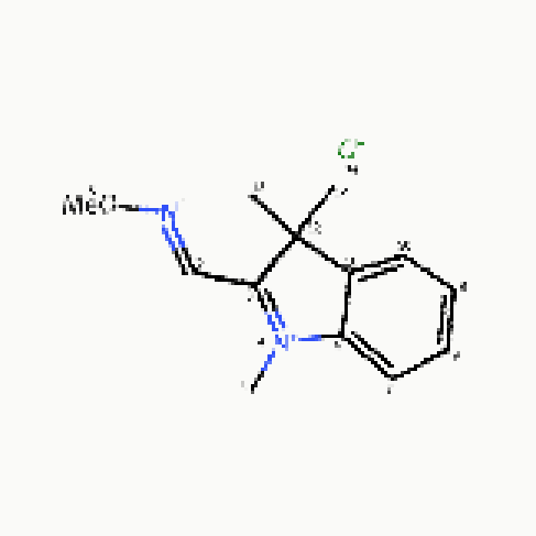 CON=CC1=[N+](C)c2ccccc2C1(C)C.[Cl-]